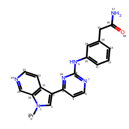 CC(C)n1cc(-c2ccnc(Nc3cccc(CC(N)=O)c3)n2)c2ccncc21